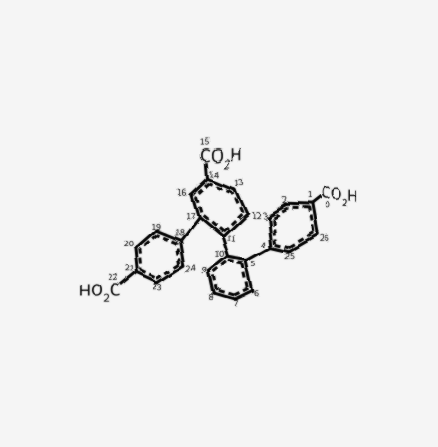 O=C(O)c1ccc(-c2ccccc2-c2ccc(C(=O)O)cc2-c2ccc(C(=O)O)cc2)cc1